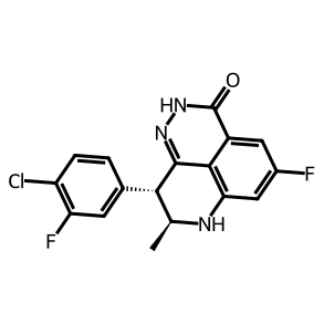 C[C@@H]1Nc2cc(F)cc3c(=O)[nH]nc(c23)[C@H]1c1ccc(Cl)c(F)c1